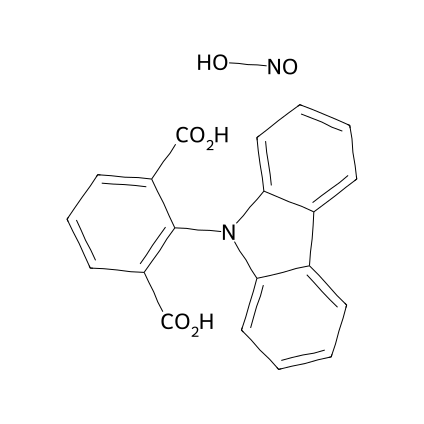 O=C(O)c1cccc(C(=O)O)c1-n1c2ccccc2c2ccccc21.O=NO